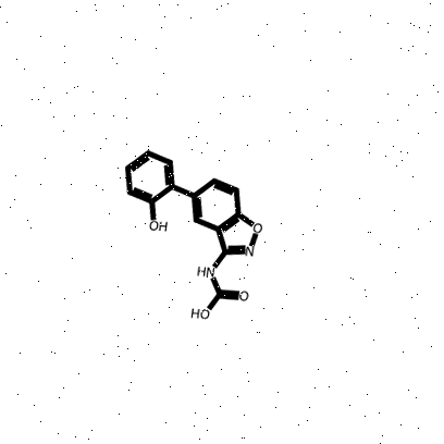 O=C(O)Nc1noc2ccc(-c3ccccc3O)cc12